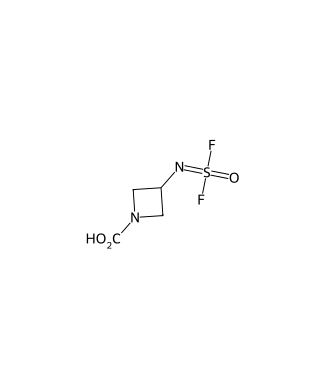 O=C(O)N1CC(N=S(=O)(F)F)C1